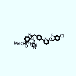 CCCn1cnnc1Cn1c(Cc2ccc(-c3cccc(OCc4ccc(Cl)cc4F)n3)cc2)nc2ccc(C(=O)OC)cc21